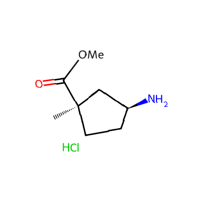 COC(=O)[C@]1(C)CC[C@H](N)C1.Cl